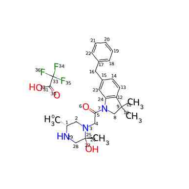 C[C@@H]1CN(CC(=O)N2CC(C)(C)c3ccc(Cc4ccccc4)cc32)[C@](C)(O)CN1.O=C(O)C(F)(F)F